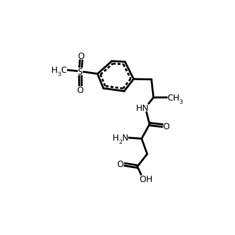 CC(Cc1ccc(S(C)(=O)=O)cc1)NC(=O)C(N)CC(=O)O